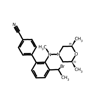 CC(Br)c1cccc(-c2ccc(C#N)cc2)c1N(C)N1C[C@@H](C)O[C@@H](C)C1